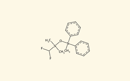 C[Si](O[Si](C)(C)C(F)F)(c1ccccc1)c1ccccc1